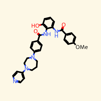 COc1ccc(C(=O)Nc2cccc(O)c2NC(=O)c2ccc(N3CCCN(c4ccncc4)CC3)cc2)cc1